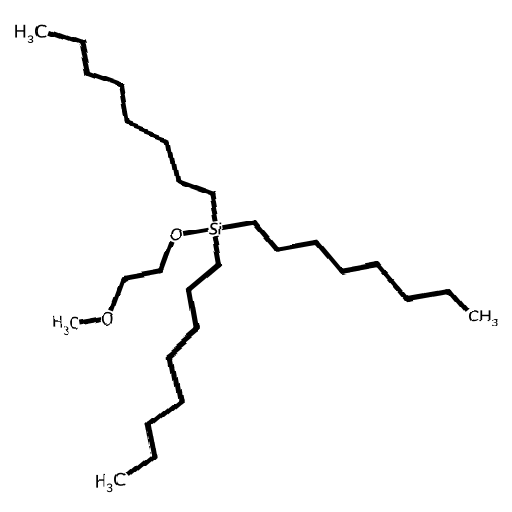 CCCCCCCC[Si](CCCCCCCC)(CCCCCCCC)OCCOC